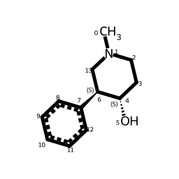 CN1CC[C@H](O)[C@@H](c2ccccc2)C1